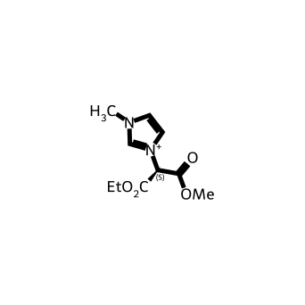 CCOC(=O)[C@H](C(=O)OC)[n+]1ccn(C)c1